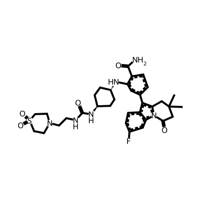 CC1(C)CC(=O)n2c(c(-c3ccc(C(N)=O)c(N[C@H]4CC[C@H](NC(=O)NCCN5CCS(=O)(=O)CC5)CC4)c3)c3ccc(F)cc32)C1